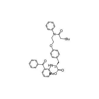 COC(=O)[C@H](Cc1ccc(OCCN(C(=O)CC(C)(C)C)c2ccccc2)cc1)Nc1ccccc1C(=O)c1ccccc1